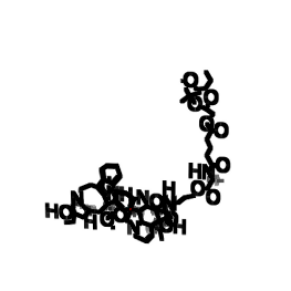 CCC(COC)OC(COC(=O)CCCC(=O)N[C@H](C)C(=O)OCCCNC(=O)[C@]1(O)C2N(C)c3cc(OC)c([C@@]4(C(=O)OC)C[C@@H]5C[N@](CCc6c4[nH]c4ccccc64)CC(O)(CC)C5)cc3[C@@]23CCN2CC=C[C@](CC)(C23)[C@H]1O)OC(C)(C)C